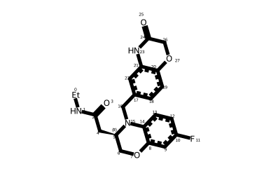 CCNC(=O)C[C@@H]1COc2cc(F)ccc2N1Cc1ccc2c(c1)NC(=O)CO2